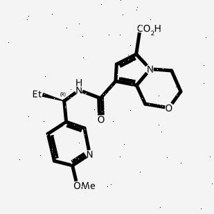 CC[C@@H](NC(=O)c1cc(C(=O)O)n2c1COCC2)c1ccc(OC)nc1